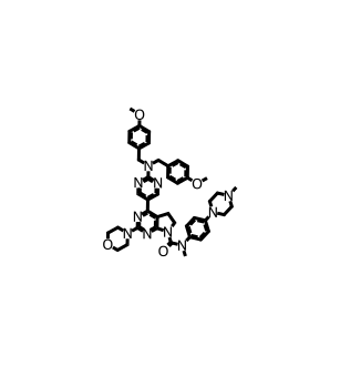 COc1ccc(CN(Cc2ccc(OC)cc2)c2ncc(-c3nc(N4CCOCC4)nc4c3CCN4C(=O)N(C)c3ccc(N4CCN(C)CC4)cc3)cn2)cc1